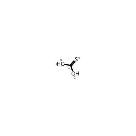 [CH]C(O)=S